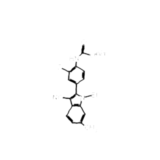 CCCOC(=O)Nc1ccc(-c2c(C#N)c3ccc(C)cc3n2CC)cc1F